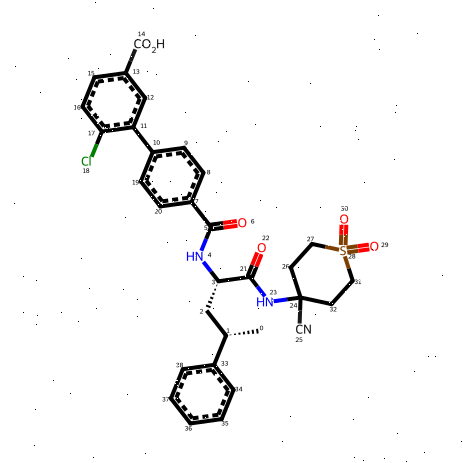 C[C@@H](C[C@H](NC(=O)c1ccc(-c2cc(C(=O)O)ccc2Cl)cc1)C(=O)NC1(C#N)CCS(=O)(=O)CC1)c1ccccc1